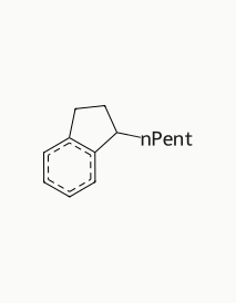 [CH2]CCCCC1CCc2ccccc21